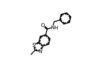 Cc1nc2ccc(C(=O)NCc3ccccc3)cc2s1